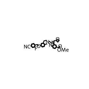 COC(=O)c1ccc2nc(CN3CCc4cc(OCc5ccc(C#N)cc5F)ccc4C3)n(CC3CCO3)c2c1